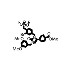 COC(=O)c1ccc(-c2cn(Cc3cc(OC)cc(OC)c3)c(=O)n2Cc2ccc(CP(=O)(OF)OF)c(Br)c2)cc1